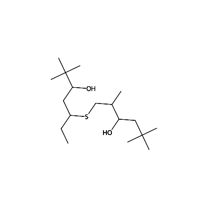 CCC(CC(O)C(C)(C)C)SCC(C)C(O)CC(C)(C)C